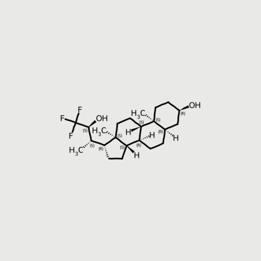 C[C@@H]([C@H]1CC[C@H]2[C@@H]3CC[C@@H]4C[C@H](O)CC[C@]4(C)[C@H]3CC[C@]12C)[C@H](O)C(F)(F)F